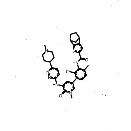 Cc1ccc(-c2cc(Nc3ccc(C4CCN(C)CC4)nn3)c(=O)n(C)c2)c(Cl)c1NC(=O)c1cc2c(s1)C1CCC2C1